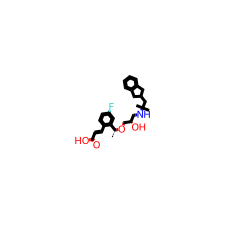 C[C@@H](OC[C@H](O)CNC(C)(C)CC1Cc2ccccc2C1)c1cc(F)ccc1/C=C/C(=O)O